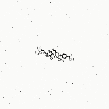 CC(=O)N(Cc1cnc2nc(NCC(C)C)[nH]c(=O)c2n1)c1ccc(C(=O)O)cc1